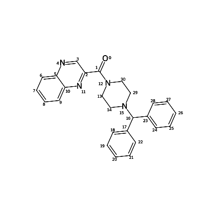 O=C(c1cnc2ccccc2n1)N1CCN(C(c2ccccc2)c2ccccc2)CC1